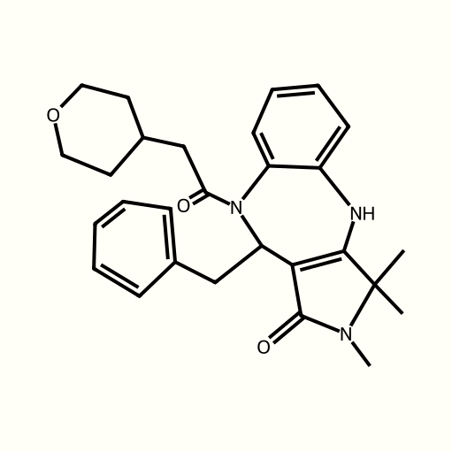 CN1C(=O)C2=C(Nc3ccccc3N(C(=O)CC3CCOCC3)C2Cc2ccccc2)C1(C)C